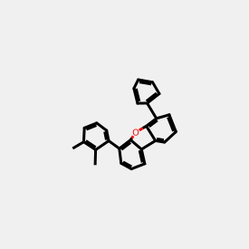 Cc1cccc(-c2cccc3c2oc2c(-c4ccccc4)cccc23)c1C